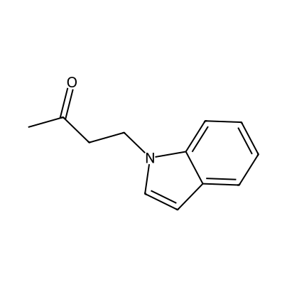 CC(=O)CCn1ccc2ccccc21